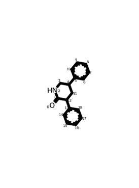 O=C1NCC(c2ccccc2)CC1c1ccccc1